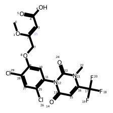 CO/C(=C\C(=O)O)COc1cc(-n2c(=O)cc(C(F)(F)F)n(C)c2=O)c(Cl)cc1Cl